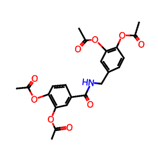 CC(=O)Oc1ccc(CNC(=O)c2ccc(OC(C)=O)c(OC(C)=O)c2)cc1OC(C)=O